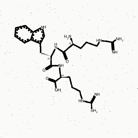 N=C(N)NCCC[C@H](NC(=O)[C@H](Cc1c[nH]c2ccccc12)NC(=O)[C@@H](N)CCCNC(=N)N)C(=O)O